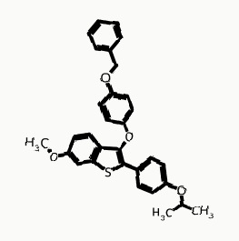 COc1ccc2c(Oc3ccc(OCc4ccccc4)cc3)c(-c3ccc(OC(C)C)cc3)sc2c1